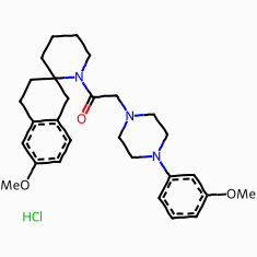 COc1cccc(N2CCN(CC(=O)N3CCCCC34CCc3cc(OC)ccc3C4)CC2)c1.Cl